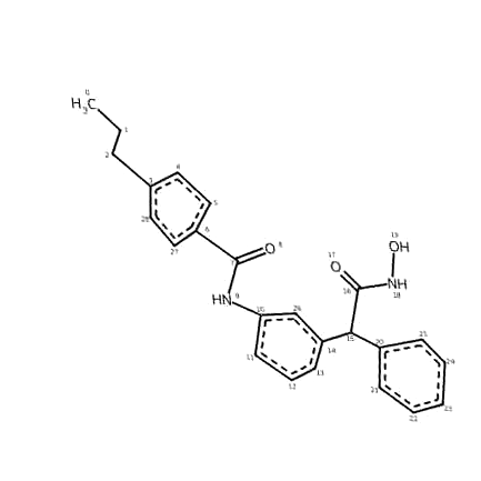 CCCc1ccc(C(=O)Nc2cccc(C(C(=O)NO)c3ccccc3)c2)cc1